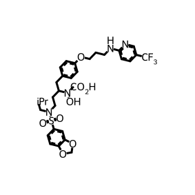 CC(C)CN(CCC(Cc1ccc(OCCCNc2ccc(C(F)(F)F)cn2)cc1)N(O)C(=O)O)S(=O)(=O)c1ccc2c(c1)OCO2